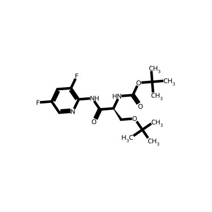 CC(C)(C)OC[C@H](NC(=O)OC(C)(C)C)C(=O)Nc1ncc(F)cc1F